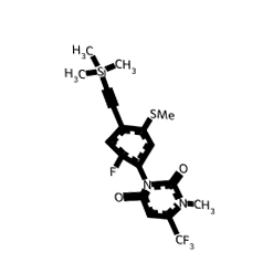 CSc1cc(-n2c(=O)cc(C(F)(F)F)n(C)c2=O)c(F)cc1C#C[Si](C)(C)C